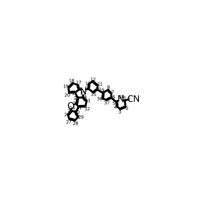 N#Cc1cccc(-c2ccc(-c3cccc(-n4c5ccccc5c5c6oc7ccccc7c6ccc54)c3)cc2)n1